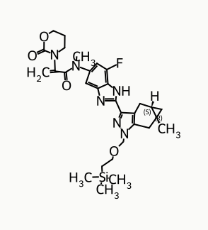 C=C(C(=O)N(C)c1cc(F)c2[nH]c(-c3nn(COCC[Si](C)(C)C)c4c3C[C@@H]3C[C@]3(C)C4)nc2c1)N1CCCOC1=O